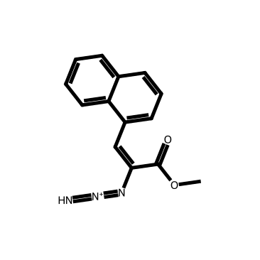 COC(=O)/C(=C\c1cccc2ccccc12)N=[N+]=N